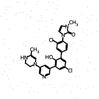 CC1=CN(c2cncc(-c3cc(Cl)cc(-c4ccc(-n5ccn(C)c5=O)c(Cl)c4)c3O)c2)CCN1